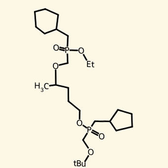 CCOP(=O)(COC(C)CCCOP(=O)(COC(C)(C)C)CC1CCCC1)CC1CCCCC1